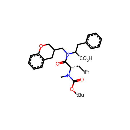 CC(C)C[C@@H](C(=O)N(CC1COc2ccccc2C1)C(Cc1ccccc1)C(=O)O)N(C)C(=O)OC(C)(C)C